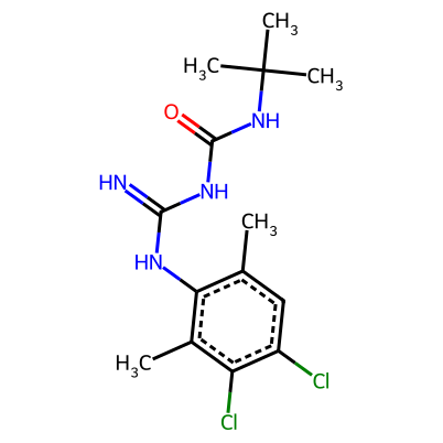 Cc1cc(Cl)c(Cl)c(C)c1NC(=N)NC(=O)NC(C)(C)C